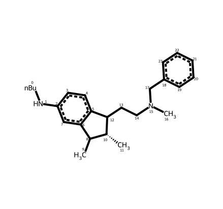 CCCCNc1ccc2c(c1)C(C)[C@@H](C)C2CCN(C)Cc1ccccc1